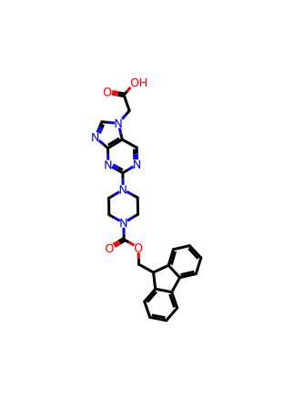 O=C(O)Cn1cnc2nc(N3CCN(C(=O)OCC4c5ccccc5-c5ccccc54)CC3)ncc21